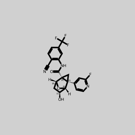 N#Cc1ccc(C(F)(F)F)cc1NC(=O)[C@]12C[C@@]1(c1ccnc(F)c1)[C@H]1O[C@@H]2C[C@@H]1O